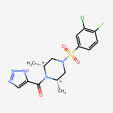 C[C@@H]1CN(S(=O)(=O)c2ccc(F)c(Cl)c2)C[C@H](C)N1C(=O)c1cnn[nH]1